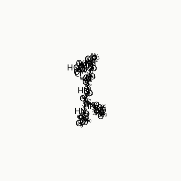 CC(=O)Oc1cccc(C(=O)NCCCCN(CCCNC(=O)c2cccc(OC(C)=O)c2OC(C)=O)C(=O)CCC(=O)NCCCCCN(OC(C)=O)C(=O)CCCC(=O)NC[C@@H](C(=O)NC[C@@H]2C(=O)N3C(C(=O)O)=C(Cl)CSC23)c2ccccc2)c1OC(C)=O